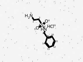 Cl.NCCS(=O)(=O)NCc1ccccc1